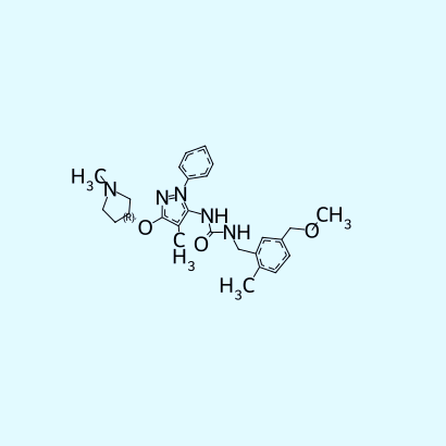 COCc1ccc(C)c(CNC(=O)Nc2c(C)c(O[C@@H]3CCN(C)C3)nn2-c2ccccc2)c1